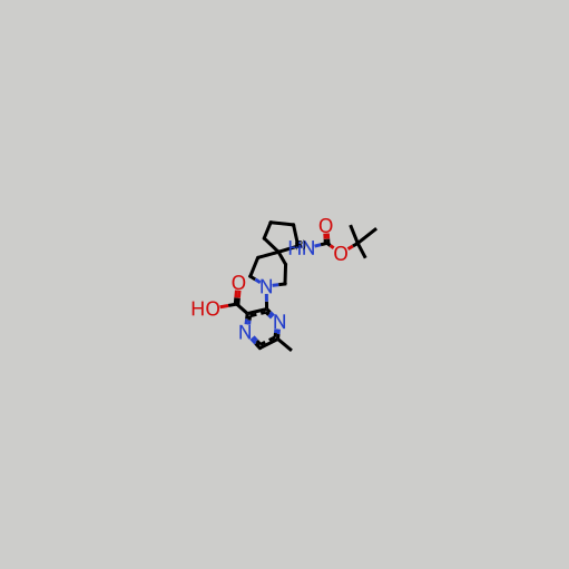 Cc1cnc(C(=O)O)c(N2CCC3(CCC[C@H]3NC(=O)OC(C)(C)C)CC2)n1